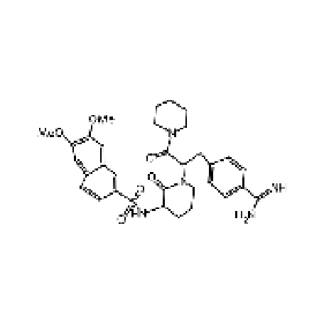 COc1cc2ccc(S(=O)(=O)NC3CCCN(C(Cc4ccc(C(=N)N)cc4)C(=O)N4CCCCC4)C3=O)cc2cc1OC